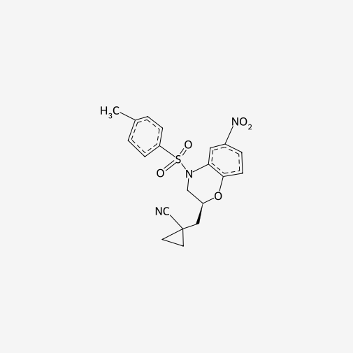 Cc1ccc(S(=O)(=O)N2C[C@H](CC3(C#N)CC3)Oc3ccc([N+](=O)[O-])cc32)cc1